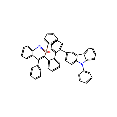 O=S1(c2ccccc2)=Nc2ccccc2C(c2ccccc2)=C1c1ccccc1-c1ccccc1-c1ccc2c(c1)c1ccccc1n2-c1ccccc1